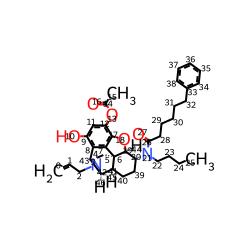 C=CCN1CC[C@]23c4c5c(O)cc(OC(C)=O)c4O[C@H]2[C@H](N(CCCC)C(=O)CCCCCc2ccccc2)CC[C@H]3[C@H]1C5